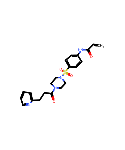 C=CC(=O)Nc1ccc(S(=O)(=O)N2CCN(C(=O)CCc3ccccn3)CC2)cc1